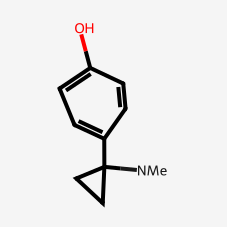 CNC1(c2ccc(O)cc2)CC1